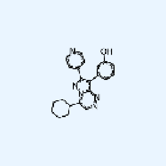 Oc1cccc(-c2c(-c3ccncc3)nn3c(C4CCCCC4)cnnc23)c1